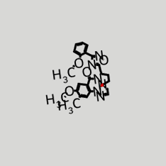 CCOc1ccccc1-c1noc(C2CCCN2C(=O)c2cc(OC)c(C)cc2-n2nccn2)n1